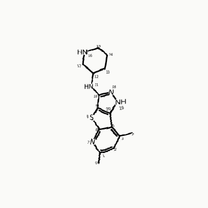 Cc1cc(C)c2c(n1)sc1c(NC3CCCNC3)n[nH]c12